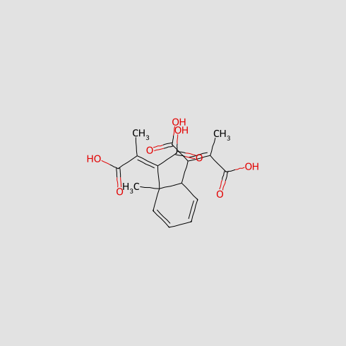 CC(C(=O)O)=C(C(=O)O)C1C=CC=CC1(C)C(C(=O)O)=C(C)C(=O)O